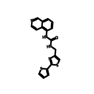 O=C(NCc1csc(-c2cccs2)n1)Nc1cccc2cnccc12